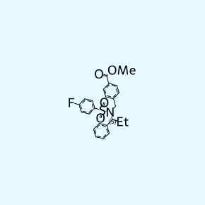 CC[C@@H](c1ccccc1)N(Cc1ccc(C(=O)OC)cc1)S(=O)(=O)c1ccc(F)cc1